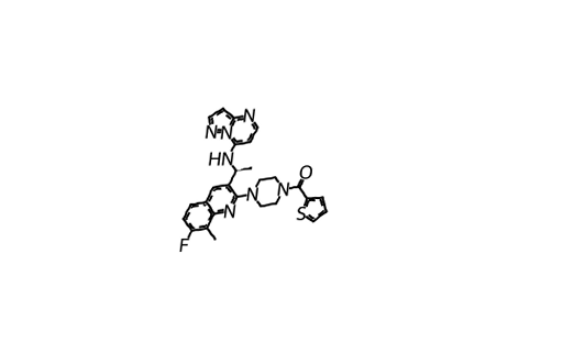 Cc1c(F)ccc2cc([C@H](C)Nc3ccnc4ccnn34)c(N3CCN(C(=O)c4cccs4)CC3)nc12